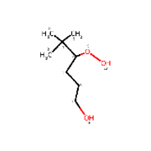 CC(C)(C)C(CCCO)OO